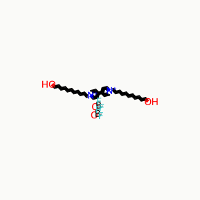 OCCCCCCCCCCC[n+]1ccc(-c2cc[n+](CCCCCCCCCCCO)cc2)cc1.[O-]B(F)F.[O-]B(F)F